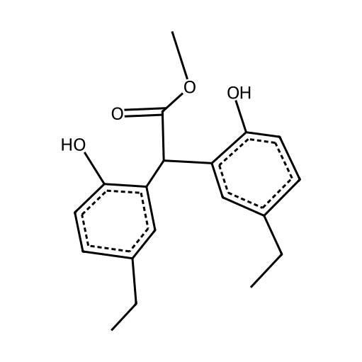 CCc1ccc(O)c(C(C(=O)OC)c2cc(CC)ccc2O)c1